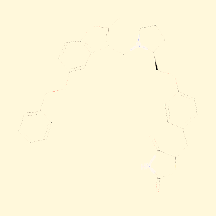 Cc1oc2ccc(OCc3ccccc3)cc2c1CN1CCC[C@H]1COc1ccc(CC2SC(=O)NC2=O)cc1